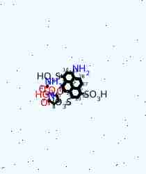 NC(=O)O[N+]1(O)C(=O)CCC1=O.Nc1cc(S(=O)(=O)O)c2ccc3c(S(=O)(=O)O)cc(S(=O)(=O)O)c4ccc1c2c43